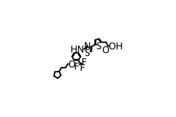 O=C(O)Cc1ccc(-c2csc(Nc3ccc(OCCCC4CCCC4)c(C(F)(F)F)c3)n2)s1